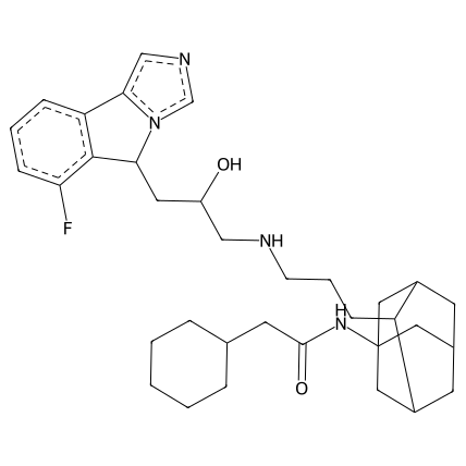 O=C(CC1CCCCC1)NC12CC3CC(C1)C(CCCNCC(O)CC1c4c(F)cccc4-c4cncn41)C(C3)C2